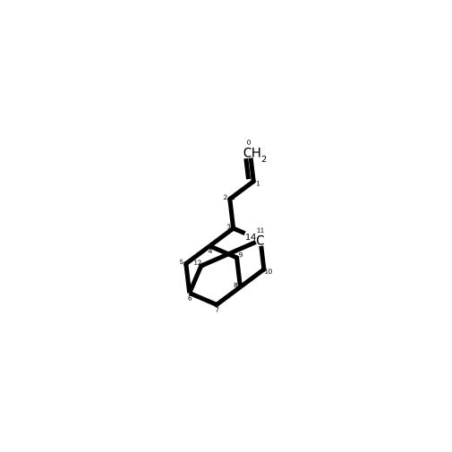 C=C[CH]C1C2CC3CC(C2)C[14CH]1C3